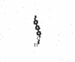 C=CCc1ccc(-c2ccc(-c3ccc(COCC=CCC)cc3)cc2)cc1